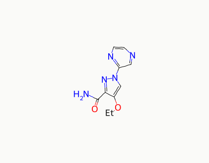 CCOc1cn(-c2cnccn2)nc1C(N)=O